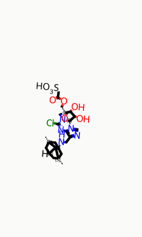 C=N/C(Cl)=N\c1c(CN[C@@]23C[C@@H]4C[C@@](C)(C[C@@](C)(C4)C2)C3)ncn1[C@@H]1O[C@H](COC(=O)CS(=O)(=O)O)C(O)C1O